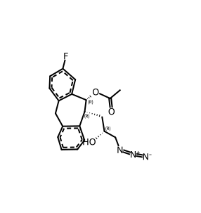 CC(=O)O[C@H]1c2cc(F)ccc2Cc2ccccc2[C@H]1C[C@@H](O)CN=[N+]=[N-]